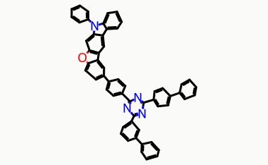 c1ccc(-c2ccc(-c3nc(-c4ccc(-c5ccc6oc7cc8c(cc7c6c5)c5ccccc5n8-c5ccccc5)cc4)nc(-c4cccc(-c5ccccc5)c4)n3)cc2)cc1